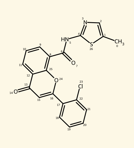 Cc1cnc(NC(=O)c2cccc3c(=O)cc(-c4ccccc4Cl)oc23)s1